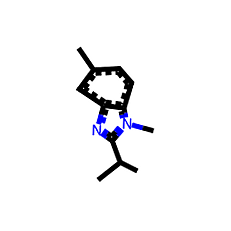 Cc1ccc2c(c1)nc(C(C)C)n2C